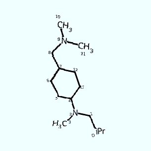 CC(C)CN(C)C1CCC(CN(C)C)CC1